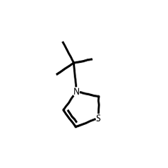 CC(C)(C)N1C=CSC1